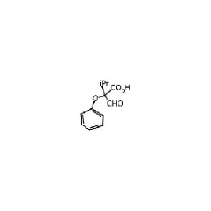 CC(C)C(C=O)(Oc1ccccc1)C(=O)O